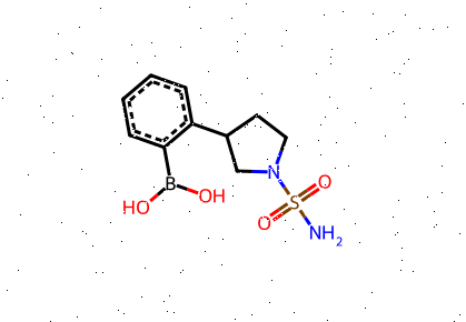 NS(=O)(=O)N1CCC(c2ccccc2B(O)O)C1